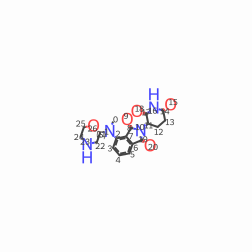 CN(c1cccc2c1C(=O)N(C1CCC(=O)NC1=O)C2=O)[C@@H]1CNCCO1